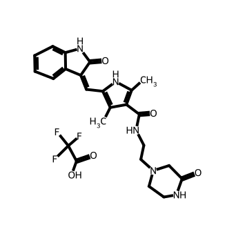 Cc1[nH]c(/C=C2\C(=O)Nc3ccccc32)c(C)c1C(=O)NCCN1CCNC(=O)C1.O=C(O)C(F)(F)F